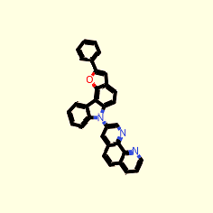 c1ccc(-c2cc3ccc4c(c5ccccc5n4-c4cnc5c(ccc6cccnc65)c4)c3o2)cc1